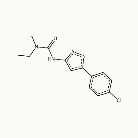 CCN(C)C(=O)Nc1cc(-c2ccc(Cl)cc2)ns1